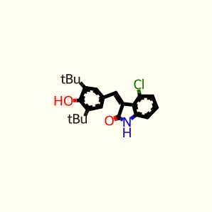 CC(C)(C)c1cc(/C=C2\C(=O)Nc3cccc(Cl)c32)cc(C(C)(C)C)c1O